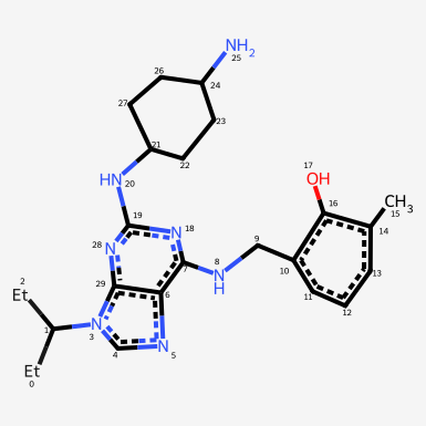 CCC(CC)n1cnc2c(NCc3cccc(C)c3O)nc(NC3CCC(N)CC3)nc21